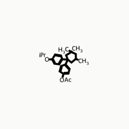 CC(=O)Oc1ccc(C2(c3ccc(OC(C)C)cc3)CC(C)CC(C)(C)C2)cc1